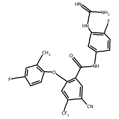 Cc1cc(F)ccc1Oc1cc(C(F)(F)F)c(C#N)cc1C(=O)Nc1ccc(F)c(NC(=N)N)c1